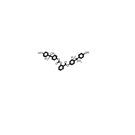 CC(C)(c1ccc(O)cc1)c1ccc(OC(=O)Oc2ccccc2C(=O)Oc2ccc(C(C)(C)c3ccc(O)cc3)cc2)cc1